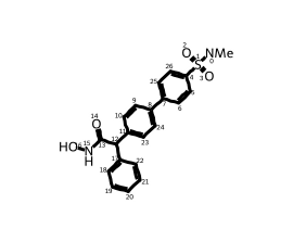 CNS(=O)(=O)c1ccc(-c2ccc(C(C(=O)NO)c3ccccc3)cc2)cc1